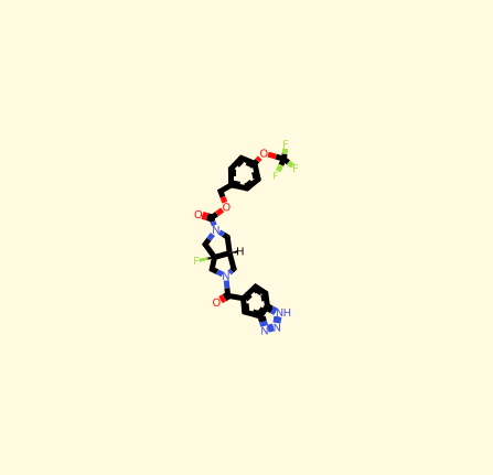 O=C(OCc1ccc(OC(F)(F)F)cc1)N1C[C@H]2CN(C(=O)c3ccc4[nH]nnc4c3)C[C@]2(F)C1